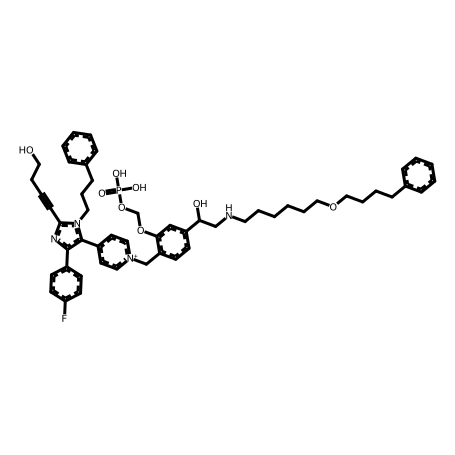 O=P(O)(O)OCOc1cc(C(O)CNCCCCCCOCCCCc2ccccc2)ccc1C[n+]1ccc(-c2c(-c3ccc(F)cc3)nc(C#CCCO)n2CCCc2ccccc2)cc1